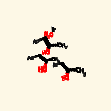 CC(=O)/C=C(/C)O.CC(=O)/C=C(/C)O.CC(=O)/C=C(/C)O.O.[Er]